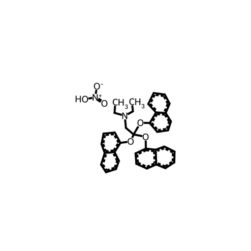 CCN(CC)CC(Oc1cccc2ccccc12)(Oc1cccc2ccccc12)Oc1cccc2ccccc12.O=[N+]([O-])O